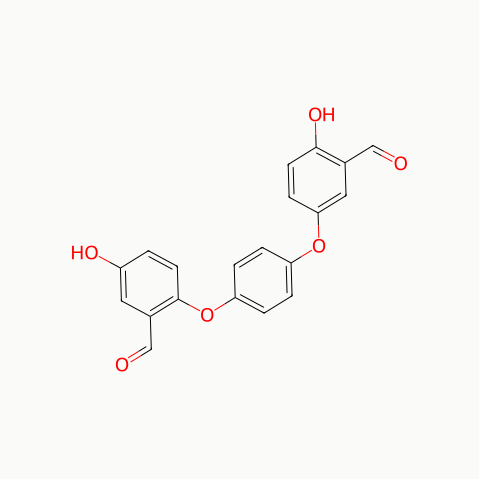 O=Cc1cc(Oc2ccc(Oc3ccc(O)cc3C=O)cc2)ccc1O